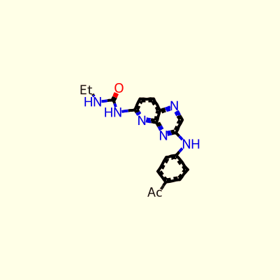 CCNC(=O)Nc1ccc2ncc(Nc3ccc(C(C)=O)cc3)nc2n1